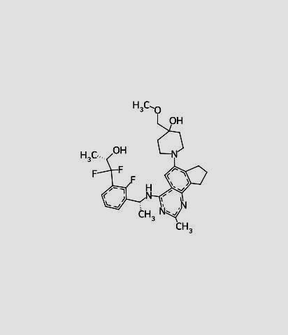 COCC1(O)CCN(c2cc3c(N[C@H](C)c4cccc(C(F)(F)[C@H](C)O)c4F)nc(C)nc3c3c2CCC3)CC1